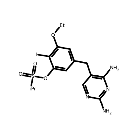 CCOc1cc(Cc2cnc(N)nc2N)cc(OS(=O)(=O)C(C)C)c1I